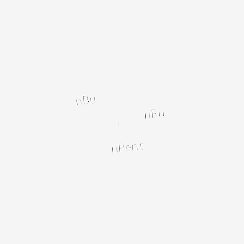 CCCCCC(CCCC)CCCC